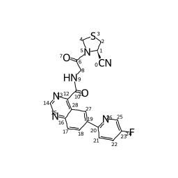 N#C[C@@H]1CSCN1C(=O)CNC(=O)c1ncnc2ccc(-c3ccc(F)cn3)cc12